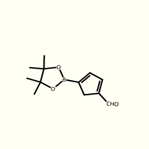 CC1(C)OB(C2=CC=C(C=O)C2)OC1(C)C